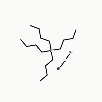 Br[I-]Br.CCCC[N+](CCCC)(CCCC)CCCC